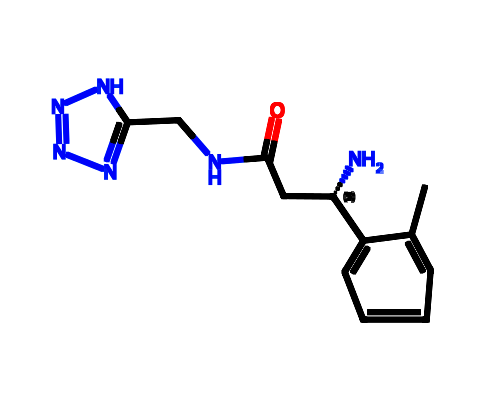 Cc1ccccc1[C@@H](N)CC(=O)NCc1nnn[nH]1